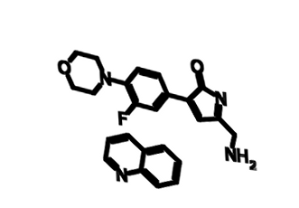 NCC1=NC(=O)C(c2ccc(N3CCOCC3)c(F)c2)=C1.c1ccc2ncccc2c1